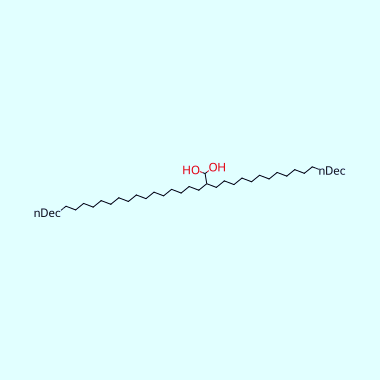 CCCCCCCCCCCCCCCCCCCCCCCCCCC(CCCCCCCCCCCCCCCCCCCCCC)C(O)O